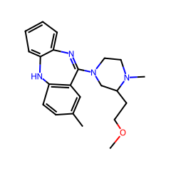 COCCC1CN(C2=Nc3ccccc3Nc3ccc(C)cc32)CCN1C